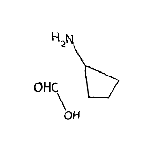 NC1CCC1.O=CO